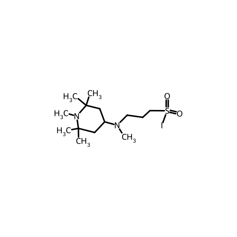 CN(CCCS(=O)(=O)I)C1CC(C)(C)N(C)C(C)(C)C1